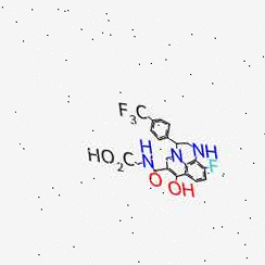 O=C(O)CNC(=O)C1=C(O)c2ccc(F)c3c2N(C1)C(c1ccc(C(F)(F)F)cc1)CN3